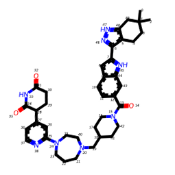 CC1(C)CCc2c(-c3cc4ccc(C(=O)N5CCC(CN6CCCN(c7cc(C8CCC(=O)NC8=O)ccn7)CC6)CC5)cc4[nH]3)n[nH]c2C1